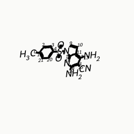 Cc1ccc(S(=O)(=O)n2ccc3c(N)c(C#N)c(N)nc32)cc1